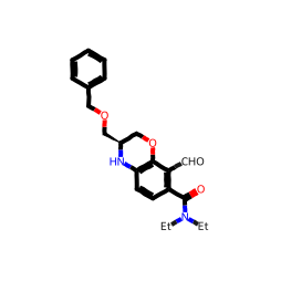 CCN(CC)C(=O)c1ccc2c(c1C=O)OC[C@H](COCc1ccccc1)N2